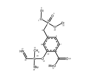 CCOP(=O)(Cc1ccc(C(=O)OC)c(O[Si](C)(C=N)C(C)(C)C)c1)OCC